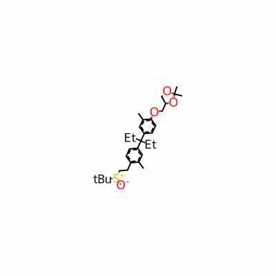 CCC(CC)(c1ccc(CC[S+]([O-])C(C)(C)C)c(C)c1)c1ccc(OCC2COC(C)(C)O2)c(C)c1